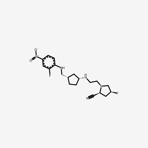 N#C[C@@H]1C[C@H](F)CN1CCN[C@@H]1CC[C@H](CNc2ccc([N+](=O)[O-])cc2F)C1